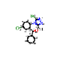 Cc1nnc(Br)n1-c1ccc(Cl)cc1C(=O)c1ccccc1